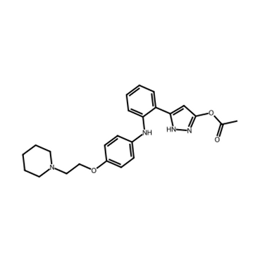 CC(=O)Oc1cc(-c2ccccc2Nc2ccc(OCCN3CCCCC3)cc2)[nH]n1